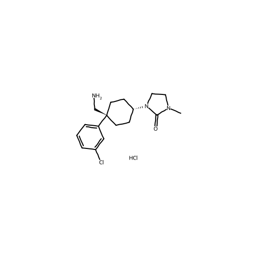 CN1CCN([C@H]2CC[C@@](CN)(c3cccc(Cl)c3)CC2)C1=O.Cl